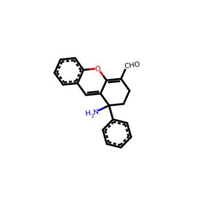 NC1(c2ccccc2)CCC(C=O)=C2Oc3ccccc3C=C21